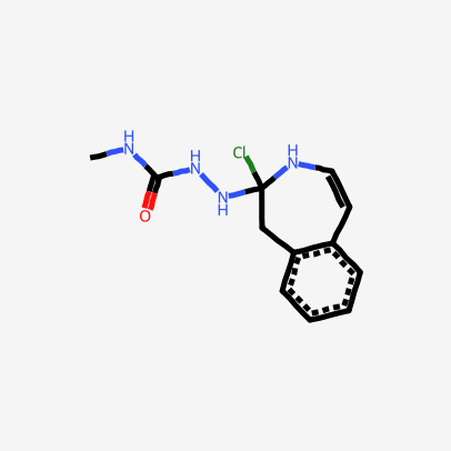 CNC(=O)NNC1(Cl)Cc2ccccc2C=CN1